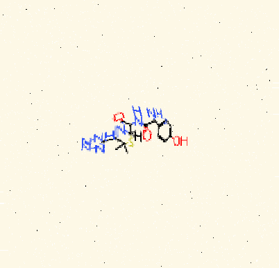 CC1(C)S[C@@H]2C(NC(=O)C(N)c3ccc(O)cc3)C(=O)N2C1c1nnn[nH]1